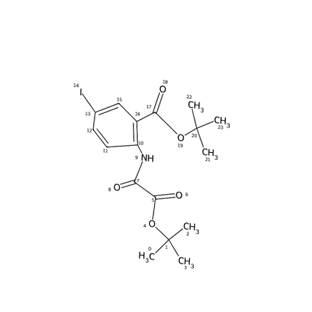 CC(C)(C)OC(=O)C(=O)Nc1ccc(I)cc1C(=O)OC(C)(C)C